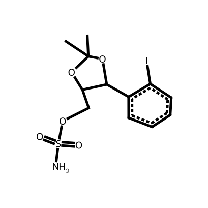 CC1(C)OC(COS(N)(=O)=O)C(c2ccccc2I)O1